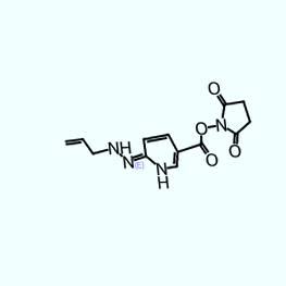 C=CCN/N=c1\ccc(C(=O)ON2C(=O)CCC2=O)c[nH]1